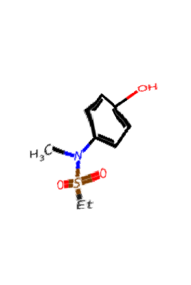 CCS(=O)(=O)N(C)c1ccc(O)cc1